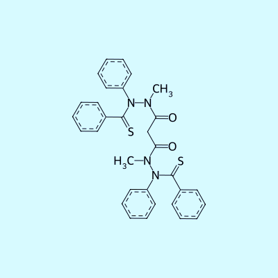 CN(C(=O)CC(=O)N(C)N(C(=S)c1ccccc1)c1ccccc1)N(C(=S)c1ccccc1)c1ccccc1